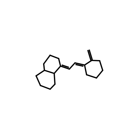 C=C1CCCCC1=CC=C1CCCC2CCCCC12